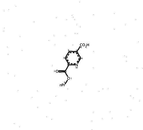 CCCOC(=O)c1ccc(C(=O)O)cn1